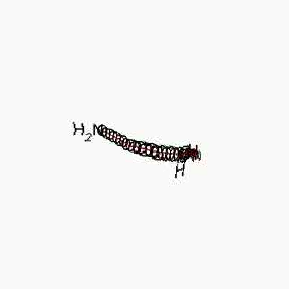 CC(C)CCC[C@@H](C)[C@H]1CC[C@H]2[C@@H]3CC=C4C[C@@H](OC(=O)NCCOCCOCCOCCOCCOCCOCCOCCOCCOCCOCCOCCOCCOCCOCCOCCOCCOCCOCCOCCN)CC[C@]4(C)[C@H]3CC[C@]12C